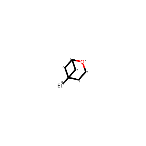 CCC12CCOC(C1)C2